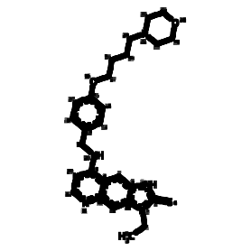 CCn1c(=S)[nH]c2cc3c(NCc4ccc(OCCCCN5CCOCC5)cc4)ncnc3cc21